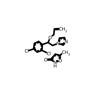 C=CCOC(Cn1ccnc1)c1ccc(Cl)cc1Cl.Cc1cc(=O)[nH]o1